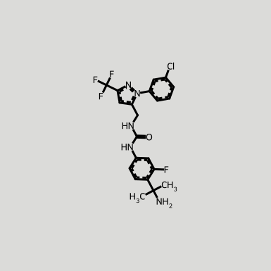 CC(C)(N)c1ccc(NC(=O)NCc2cc(C(F)(F)F)nn2-c2cccc(Cl)c2)cc1F